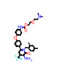 Cc1ccc(Cn2c(-c3ccc(Oc4ccc(NC(=O)OCCOCCN(C)C)cc4)cc3)cc(C(F)(F)F)c(N)c2=O)c(C)c1